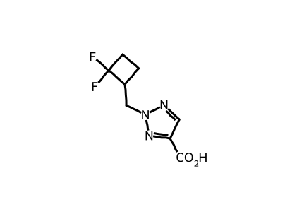 O=C(O)c1cnn(CC2CCC2(F)F)n1